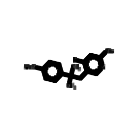 COc1ccc(C(C)(C)Cc2cnc(C(C)(C)C)cc2F)cc1